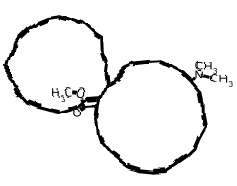 COC(=O)C1=CC=CC=CC=C\C=C/C=C\C=C/C=CC=CC(N(C)C)=CC=CC=CC=CC2=CC=CC=CC=CC=CC=CC=CC=CC=CC=CC=CC=CC=CC=C21